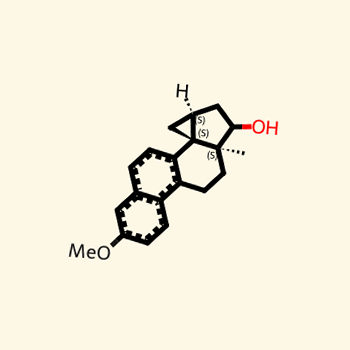 COc1ccc2c3c(ccc2c1)[C@]12C[C@H]1CC(O)[C@@]2(C)CC3